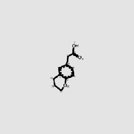 O=C(O)Cc1ccc2c(c1)CCCO2